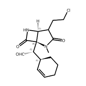 CN1C(=O)C(CCCl)[C@@H]2NC(=O)[C@@]21[C@@H](C=O)[C@@H]1C=CCCC1